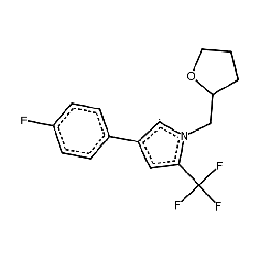 Fc1ccc(-c2[c]n(CC3CCCO3)c(C(F)(F)F)c2)cc1